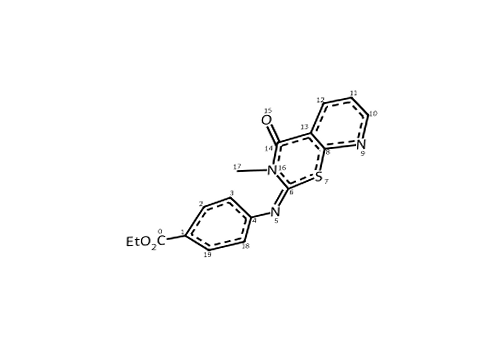 CCOC(=O)c1ccc(/N=c2/sc3ncccc3c(=O)n2C)cc1